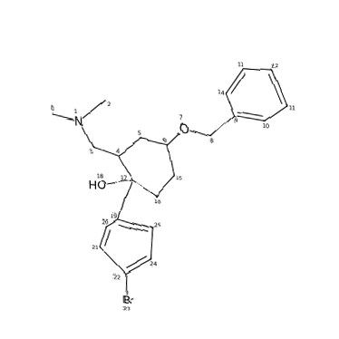 CN(C)CC1CC(OCc2ccccc2)CCC1(O)c1ccc(Br)cc1